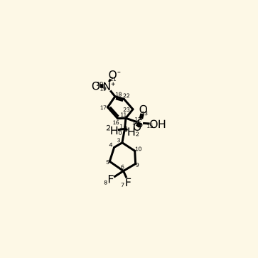 [2H]C([2H])(C1CCC(F)(F)CC1)C1(S(=O)(=O)O)C=CC([N+](=O)[O-])=CC1